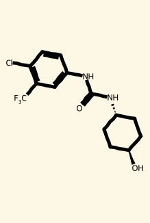 O=C(Nc1ccc(Cl)c(C(F)(F)F)c1)N[C@H]1CC[C@H](O)CC1